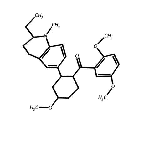 CCC1CCc2cc(C3CC(OC)CCC3C(=O)c3cc(OC)ccc3OC)ccc2N1C